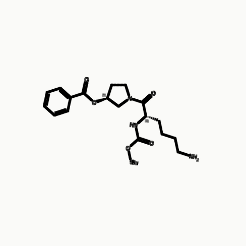 CC(C)(C)OC(=O)N[C@@H](CCCCN)C(=O)N1CC[C@H](OC(=O)c2ccccc2)C1